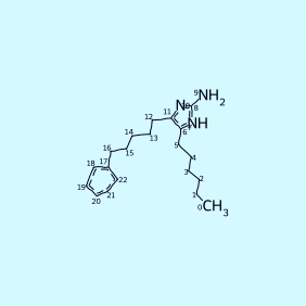 CCCCCCc1[nH]c(N)nc1CCCCCc1ccccc1